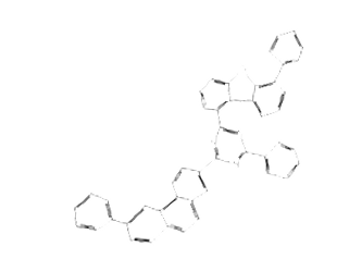 c1ccc(-c2ccc3ccc4cc(-c5nc(-c6ccccc6)nc(-c6cccc7oc8c(-c9ccccc9)cccc8c67)n5)ccc4c3c2)cc1